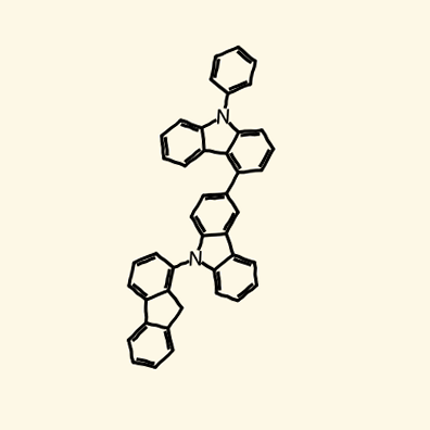 c1ccc(-n2c3ccccc3c3c(-c4ccc5c(c4)c4ccccc4n5-c4cccc5c4Cc4ccccc4-5)cccc32)cc1